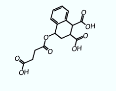 O=C(O)CCC(=O)OC1CC(C(=O)O)C(C(=O)O)c2ccccc21